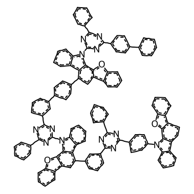 c1ccc(-c2ccc(-c3nc(-c4ccccc4)nc(-n4c5ccccc5c5c(-c6ccc(-c7cccc(-c8nc(-c9ccccc9)nc(-n9c%10ccccc%10c%10c(-c%11cccc(-c%12nc(-c%13ccccc%13)nc(-c%13ccc(-n%14c%15ccccc%15c%15ccc%16c%17ccccc%17oc%16c%15%14)cc%13)n%12)c%11)cc%11c%12ccccc%12oc%11c%109)n8)c7)cc6)cc6c7ccccc7oc6c54)n3)cc2)cc1